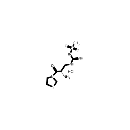 CS(=O)(=O)NC(=N)NC[C@H](N)C(=O)N1CCSC1.Cl